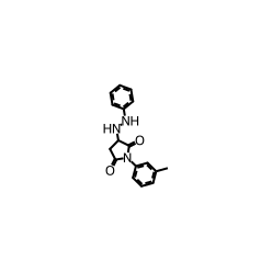 Cc1cccc(N2C(=O)CC(NNc3ccccc3)C2=O)c1